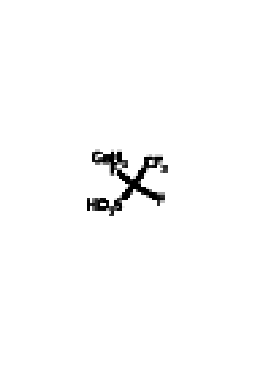 O=S(=O)(O)C(F)(F)C(F)(F)F.[GaH3]